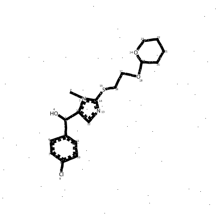 Cn1c(C(O)c2ccc(Cl)cc2)cnc1SCCOC1CCCCO1